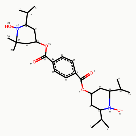 CC(C)C1CC(OC(=O)c2ccc(C(=O)OC3CC(C(C)C)N(O)C(C)(C)C3)cc2)CC(C(C)C)N1O